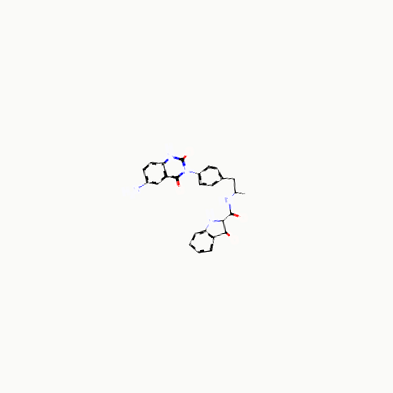 Nc1ccc2[nH]c(=O)n(-c3ccc(CC(NC(=O)C4Nc5ccccc5C4=O)C(=O)O)cc3)c(=O)c2c1